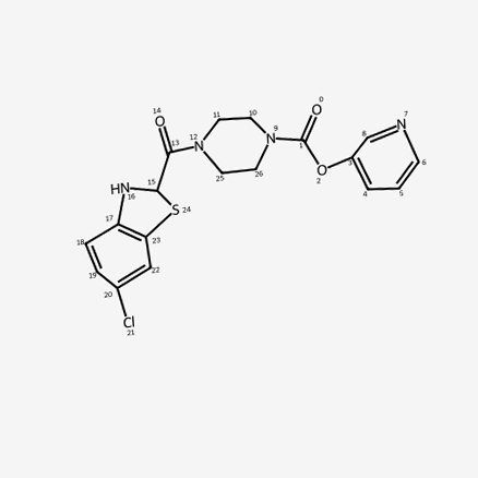 O=C(Oc1cccnc1)N1CCN(C(=O)C2Nc3ccc(Cl)cc3S2)CC1